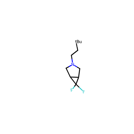 CC(C)(C)CCN1CC2C(C1)C2(F)F